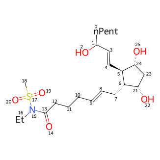 CCCCCC(O)C=C[C@@H]1[C@@H](CC=CCCCC(=O)N(CC)S(C)(=O)=O)[C@@H](O)C[C@H]1O